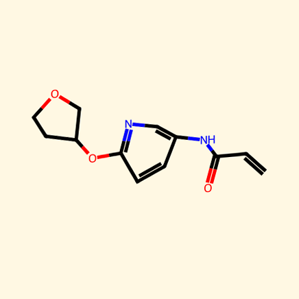 C=CC(=O)Nc1ccc(OC2CCOC2)nc1